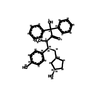 CN(C(=O)C(O)(c1ccccc1)c1ccccc1)[C@H](CN1CC[C@H](O)C1)c1ccc(O)cc1